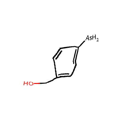 OCc1ccc([AsH2])cc1